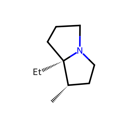 CC[C@]12CCCN1CC[C@@H]2C